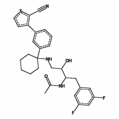 CC(=O)NC(Cc1cc(F)cc(F)c1)C(O)CNC1(c2cccc(-c3ccsc3C#N)c2)CCCCC1